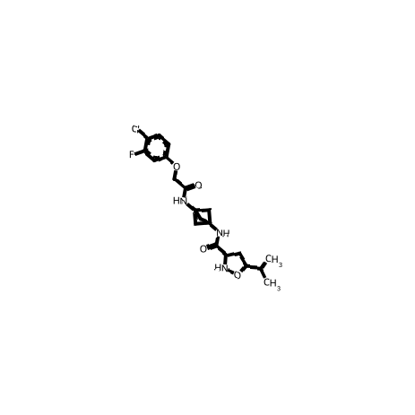 CC(C)C1CC(C(=O)NC23CC(NC(=O)COc4ccc(Cl)c(F)c4)(C2)C3)NO1